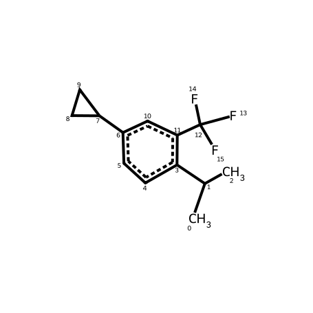 CC(C)c1ccc(C2CC2)cc1C(F)(F)F